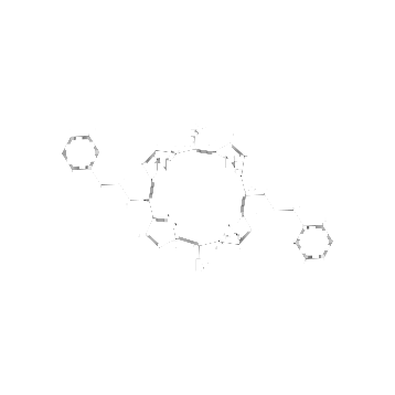 BrC1=C2C=CC(=N2)C(CCCc2ccccc2)=C2C=CC(=N2)C(Br)=C2C=CC(=N2)C(CCCc2ccccc2)=C2C=CC1=N2